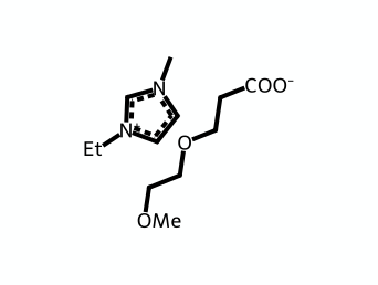 CC[n+]1ccn(C)c1.COCCOCCC(=O)[O-]